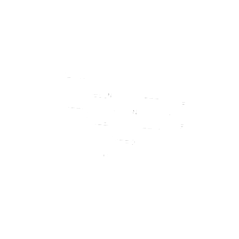 COC(=O)c1cc2c(nc1N1CCC(F)(F)C(C)C1)CC(C)CC2